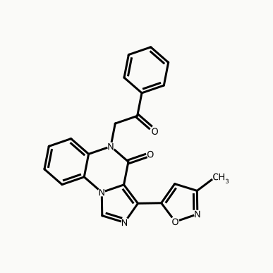 Cc1cc(-c2ncn3c2c(=O)n(CC(=O)c2ccccc2)c2ccccc23)on1